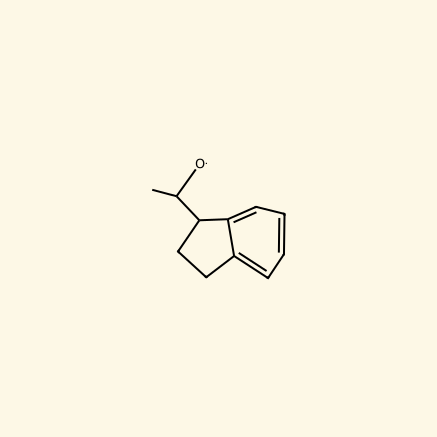 CC([O])C1CCc2ccccc21